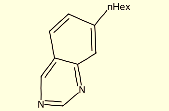 CCCCCCc1ccc2cncnc2c1